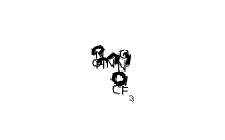 O=C(c1cc2c([nH]1)N(c1ccc(C(F)(F)F)cc1)CCO2)N1CCCC1